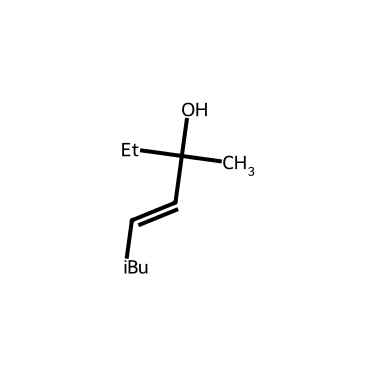 CCC(C)C=CC(C)(O)CC